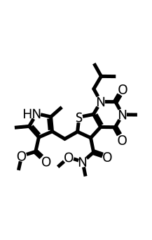 COC(=O)c1c(C)[nH]c(C)c1CC1Sc2c(c(=O)n(C)c(=O)n2CC(C)C)C1C(=O)N(C)OC